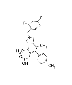 Cc1ccc(-c2c(C)c3c(c(C)c2CC(=O)O)CN(Cc2ccc(F)cc2F)C3)cc1